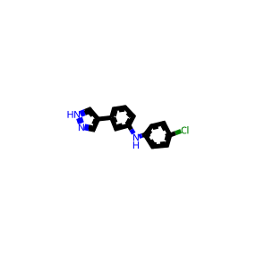 Clc1ccc(Nc2cccc(-c3cn[nH]c3)c2)cc1